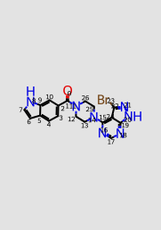 O=C(c1ccc2cc[nH]c2c1)N1CCN(c2ncnc3[nH]nc(Br)c23)CC1